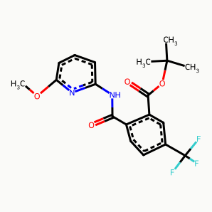 COc1cccc(NC(=O)c2ccc(C(F)(F)F)cc2C(=O)OC(C)(C)C)n1